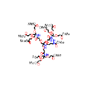 COC(=O)CCOCC(COCCC(C)=O)(COCCC(=O)OC)NC(=O)CCOCC(COCCC(=O)NC(COCCC(=O)OC)(COCCC(=O)OC)COCCC(=O)OC)(COCCC(=O)NC(COCCC(=O)OC)(COCCC(=O)OC)COCCC(=O)OC)NC(=O)CCCNC(=O)OC